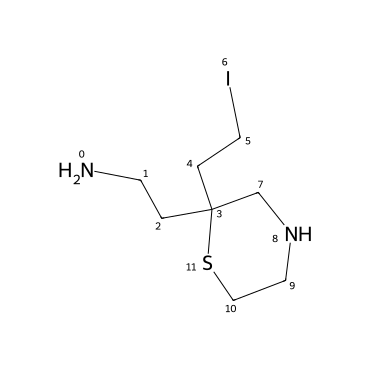 NCCC1(CCI)CNCCS1